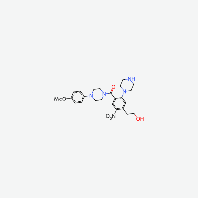 COc1ccc(N2CCN(C(=O)c3cc([N+](=O)[O-])c(CCO)cc3N3CCNCC3)CC2)cc1